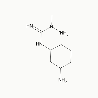 CN(N)C(=N)NC1CCCC(N)C1